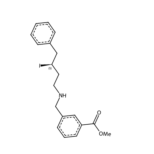 COC(=O)c1cccc(CNCC[C@@H](I)Cc2ccccc2)c1